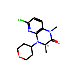 C[C@@H]1C(=O)N(C)c2ccc(Cl)nc2N1C1CCOCC1